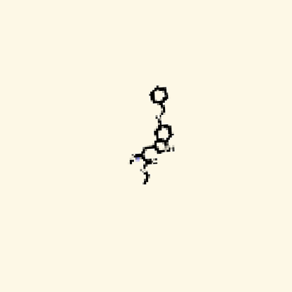 CCOC(=O)/C(Cc1c[nH]c2ccc(OCc3ccccc3)cc12)=N\C